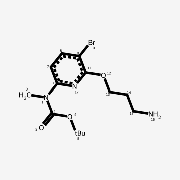 CN(C(=O)OC(C)(C)C)c1ccc(Br)c(OCCCN)n1